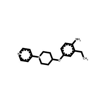 CCc1cc(OC2CCN(c3ccncc3)CC2)ccc1N